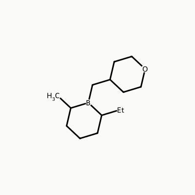 CCC1CCCC(C)B1CC1CCOCC1